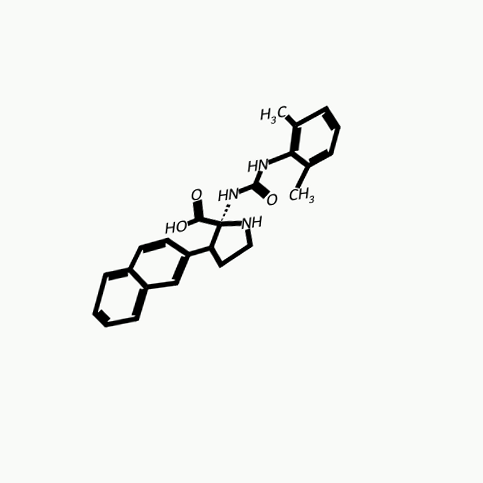 Cc1cccc(C)c1NC(=O)N[C@]1(C(=O)O)NCCC1c1ccc2ccccc2c1